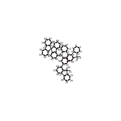 CC1(C)c2ccccc2-c2c(-c3ccccc3N(c3cccc(-c4cccc5c4C(C)(C)c4ccccc4-5)c3)c3cccc4c3-c3ccccc3C43c4ccccc4-c4ccccc43)cccc21